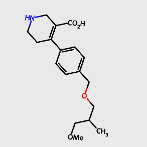 COCC(C)COCc1ccc(C2=C(C(=O)O)CNCC2)cc1